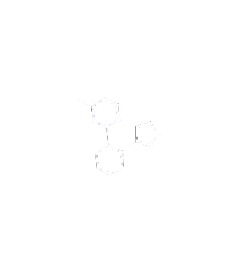 Clc1cc(Cl)nc(-c2ccccc2-c2cc[nH]c2)n1